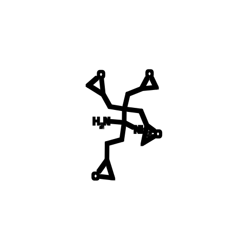 NC(N)(CCC1CO1)C(CC1CO1)(CC1CO1)CC1CO1